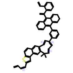 C=C/C=C\c1cc2c(ccc3cc4c(cc32)C(C)(C)/C=C/C=C(c2cccc(-c3c5c(c(C(=C)c6ccccc6C=C)c6ccccc36)=CCCC=5)c2)\C=C\4)s1